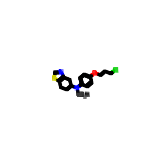 O=C(O)N(c1ccc(OCCCCl)cc1)C1CCc2scnc2C1